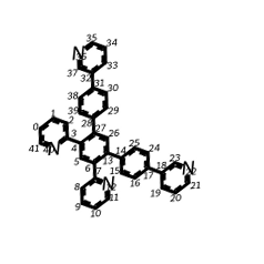 c1ccc(-c2cc(-c3ccccn3)c(-c3ccc(-c4cccnc4)cc3)cc2-c2ccc(-c3cccnc3)cc2)nc1